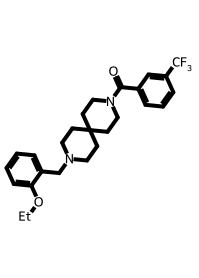 CCOc1ccccc1CN1CCC2(CC1)CCN(C(=O)c1cccc(C(F)(F)F)c1)CC2